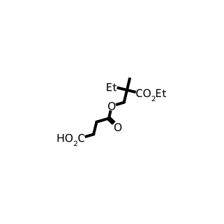 CCOC(=O)C(C)(CC)COC(=O)CCC(=O)O